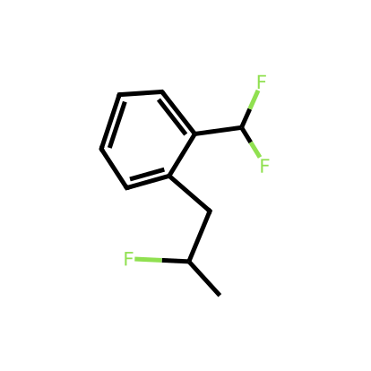 CC(F)Cc1ccccc1C(F)F